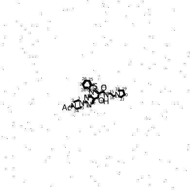 CC(=O)N1CCN(c2ncc3c(=O)c(C(=O)NCCN4CCCC4)c4sc5ccccc5n4c3n2)CC1